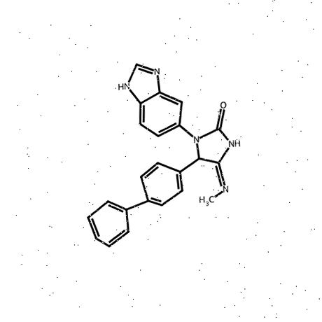 CN=C1NC(=O)N(c2ccc3[nH]cnc3c2)C1c1ccc(-c2ccccc2)cc1